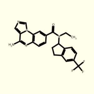 CCN(C(=O)c1ccc2nc(N)c3cncn3c2c1)C1CCc2cc(C(F)(F)F)ccc21